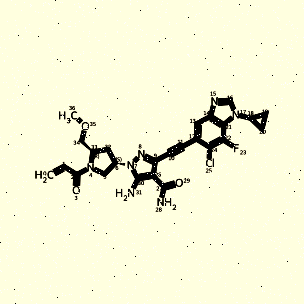 C=CC(=O)N1C[C@@H](n2nc(C#Cc3cc4ncn(C5CC5)c4c(F)c3Cl)c(C(N)=O)c2N)C[C@@H]1COC